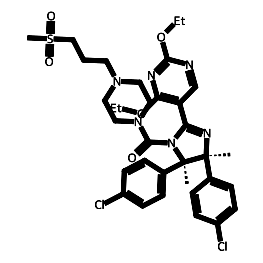 CCOc1ncc(C2=N[C@@](C)(c3ccc(Cl)cc3)[C@@](C)(c3ccc(Cl)cc3)N2C(=O)N2CCN(CCCS(C)(=O)=O)CC2)c(OCC)n1